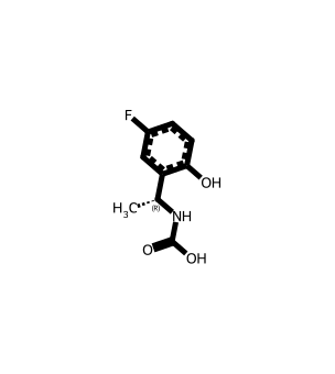 C[C@@H](NC(=O)O)c1cc(F)ccc1O